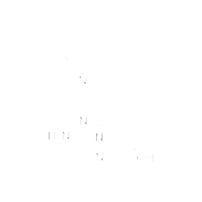 CC1(O)CC(c2ncc3c(N)nc(-c4ccc5ccc(-c6ccccc6)nc5c4)cn23)C1